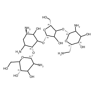 NC[C@@H]1O[C@H](OC2C(O)[C@H](OC3C(O)[C@H](N)CC(N)[C@H]3O[C@H]3OC(CO)[C@@H](O)C(O)C3N)O[C@@H]2CO)C(N)C(O)[C@@H]1O